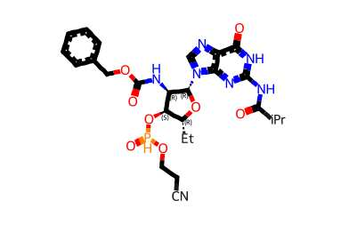 CC[C@H]1O[C@@H](n2cnc3c(=O)[nH]c(NC(=O)C(C)C)nc32)[C@H](NC(=O)OCc2ccccc2)[C@@H]1O[PH](=O)OCCC#N